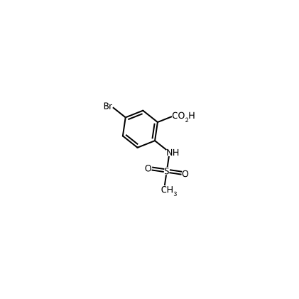 CS(=O)(=O)Nc1ccc(Br)cc1C(=O)O